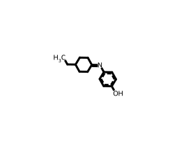 CCC1CCC(=Nc2ccc(O)cc2)CC1